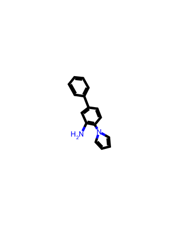 Nc1cc(-c2ccccc2)ccc1-n1cccc1